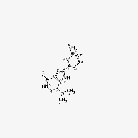 CC(C)C1CNC(=O)c2cc(-c3ccnc(N)n3)[nH]c21